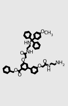 COc1ccc(C(NCCNC(=O)COc2cc(C(=O)OCc3ccccc3)cc(-c3cccc(OCC(=O)NCCN)c3)c2)(c2ccccc2)c2ccccc2)cc1